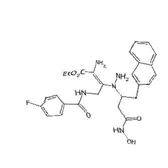 CCOC(=O)/C(N)=C(\CNC(=O)c1ccc(F)cc1)N(N)C(CC(=O)NO)Cc1ccc2ccccc2c1